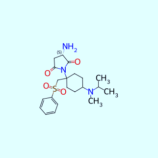 CC(C)N(C)C1CCC(CS(=O)(=O)c2ccccc2)(N2C(=O)C[C@H](N)C2=O)CC1